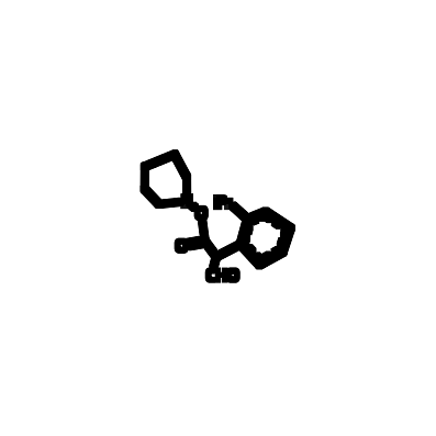 CC(C)c1ccccc1C(C=O)C(=O)ON1CCCCC1